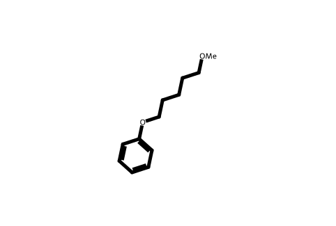 COCCCCCOc1ccccc1